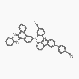 N#Cc1ccc(-c2ccc3c(c2)c2cccc4c2n3-c2ccc(C#N)cc2N4c2ccc3c(c2)c2ccccc2c2nc4ccccc4nc32)cc1